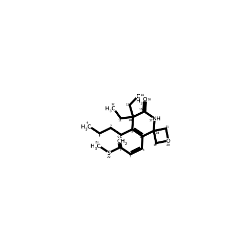 C=C(/C=C\C1=C(CCCC)C(CC)(CC)C(=O)NC12COC2)SC